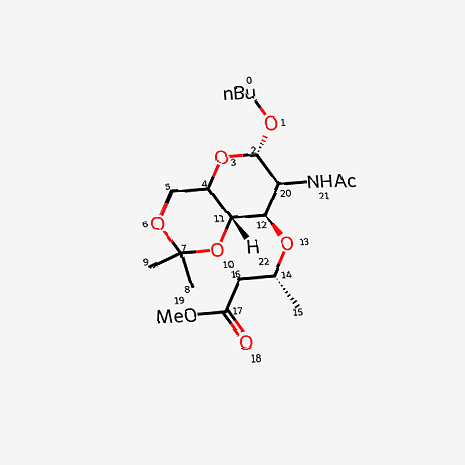 CCCCO[C@H]1OC2COC(C)(C)O[C@H]2[C@H](O[C@H](C)CC(=O)OC)C1NC(C)=O